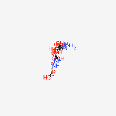 CC(C)(COP(=O)(O)OP(=O)(O)OC[C@H]1O[C@H](n2cnc3c(N)ncnc32)[C@H](O)[C@@H]1OP(=O)(O)O)[C@@H](O)C(=O)NCCC(=O)NCCSC(=O)CC(=O)CCO